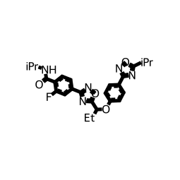 CCC(Oc1ccc(-c2noc(C(C)C)n2)cc1)c1nc(-c2ccc(C(=O)NC(C)C)c(F)c2)no1